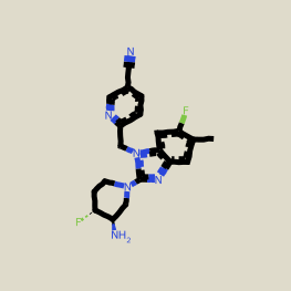 Cc1cc2nc(N3CC[C@@H](F)[C@H](N)C3)n(Cc3ccc(C#N)cn3)c2cc1F